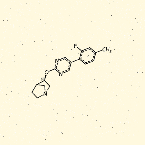 Cc1ccc(-c2cnc(O[C@H]3CN4CCC3C4)nc2)c(F)c1